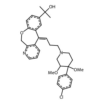 COC1CN(CC/C=C2/c3cc(C(C)(C)O)ccc3OCc3ncccc32)CCC1(OC)c1ccc(Cl)cc1